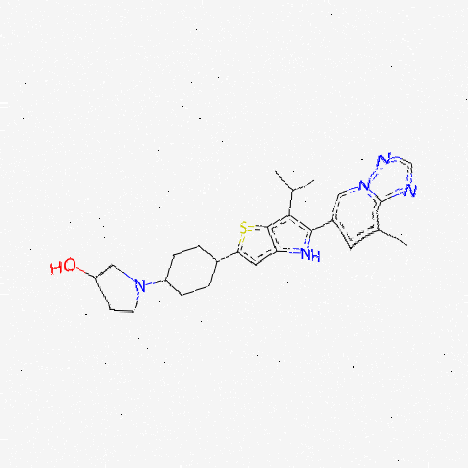 Cc1cc(-c2[nH]c3cc(C4CCC(N5CCC(O)C5)CC4)sc3c2C(C)C)cn2ncnc12